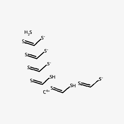 S.S=CS.S=CS.S=C[S-].S=C[S-].S=C[S-].S=C[S-].[C+4]